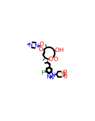 C/C(=C\c1cc(F)c2nnn(C3CCS(=O)(=O)CC3)c2c1)[C@H]1OC(=O)C[C@H](O)CC[C@H](C)[C@@H](OC(=O)N2CCN(C)CC2)/C=C/[C@@H]1C